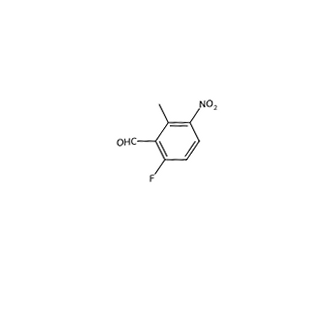 Cc1c([N+](=O)[O-])ccc(F)c1C=O